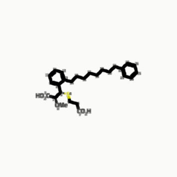 CO[C@@H](C(=O)O)[C@@H](SCCC(=O)O)c1ccccc1CCCCCCCCc1ccccc1